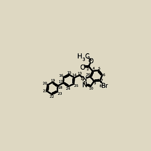 COC(=O)c1ccc(Br)c2cnn(Cc3ccc(-c4ccccc4)cc3)c12